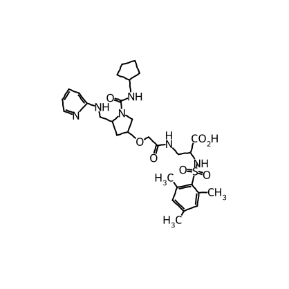 Cc1cc(C)c(S(=O)(=O)NC(CNC(=O)COC2CC(CNc3ccccn3)N(C(=O)NC3CCCC3)C2)C(=O)O)c(C)c1